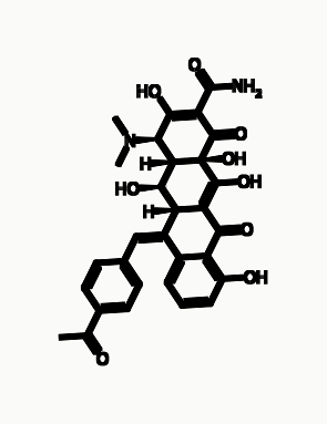 CC(=O)c1ccc(/C=C2\c3cccc(O)c3C(=O)C3=C(O)[C@@]4(O)C(=O)C(C(N)=O)=C(O)[C@H](N(C)C)[C@H]4[C@H](O)[C@H]32)cc1